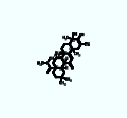 CN(C)C(=O)[C@]12CCC(C)(C)C[C@H]1[C@H]1C(=O)C=C3[C@@]4(C)CC(C#N)=C(O)[C@@](C)(O)C4CC[C@@]3(C)[C@]1(C)CC2